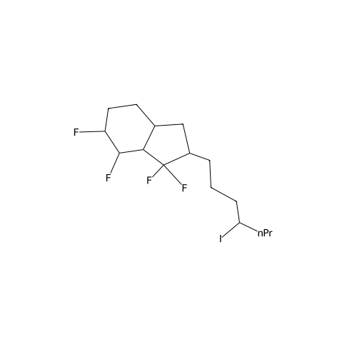 CCCC(I)CCCC1CC2CCC(F)C(F)C2C1(F)F